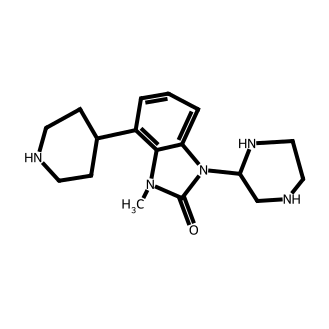 Cn1c(=O)n(C2CNCCN2)c2cccc(C3CCNCC3)c21